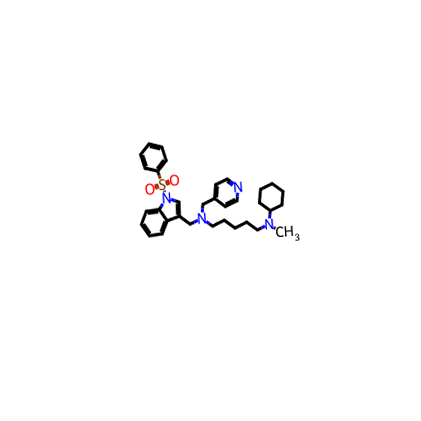 CN(CCCCCN(Cc1ccncc1)Cc1cn(S(=O)(=O)c2ccccc2)c2ccccc12)C1CCCCC1